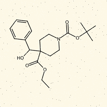 CCOC(=O)C1(C(O)c2ccccc2)CCN(C(=O)OC(C)(C)C)CC1